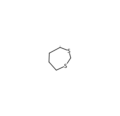 [CH]1CCCSCS1